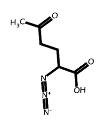 CC(=O)CCC(N=[N+]=[N-])C(=O)O